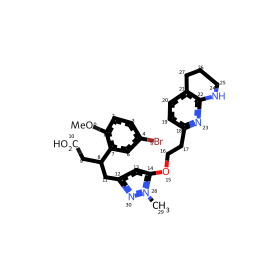 COc1ccc(Br)cc1C(CC(=O)O)Cc1cc(OCCc2ccc3c(n2)NCCC3)n(C)n1